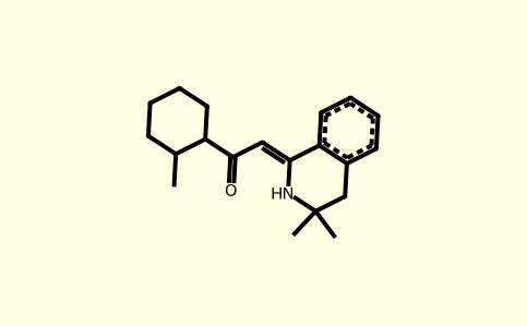 CC1CCCCC1C(=O)/C=C1\NC(C)(C)Cc2ccccc21